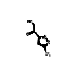 N#CCC(=O)c1cc(C(F)(F)F)on1